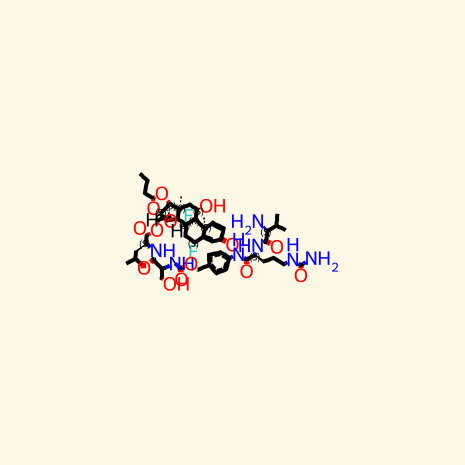 CCCC1O[C@@H]2CC3[C@@H]4C[C@H](F)C5=CC(=O)C=C[C@]5(C)[C@@]4(F)[C@@H](O)C[C@]3(C)[C@]2(C(=O)COC(=O)[C@H](CC(C)C)NC(=O)C(CO)NC(=O)OCc2ccc(NC(=O)[C@H](CCCNC(N)=O)NC(=O)[C@@H](N)C(C)C)cc2)O1